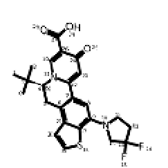 CC(C)(C)[C@@H]1Cc2c(cc(N3CCC(F)(F)C3)c3sccc23)-c2cc(=O)c(C(=O)O)cn21